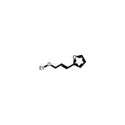 CCOCC=Cc1ccco1